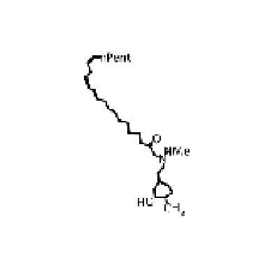 CCCCC/C=C\C/C=C\CCCCCCCCCCC(=O)CN(CCC1CC[C@@H](C)[C@H](O)C1)NC